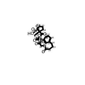 CCOP(=O)(O)C(C)(OC(=O)C(C)(C)C)C1(C(=O)NOC(=O)CN2C(=O)CCCc3ccccc32)CCCC1